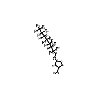 [CH2]CC1C[CH]C(OCC(F)(F)C(F)(F)C(F)(F)C(F)(F)C(F)(F)C(F)(F)C(F)(F)F)C1